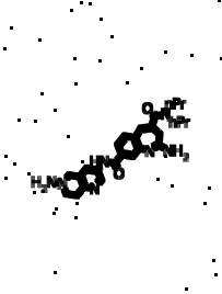 CCCN(CCC)C(=O)C1=Cc2ccc(C(=O)Nc3cnc4c(c3)CN(N)CC4)cc2N=C(N)C1